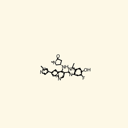 CCc1cc(O)c(F)cc1/N=C(\N)c1cnn2cc(-c3cnn(C)c3)cc2c1N[C@H]1CC(=O)N(C)C1